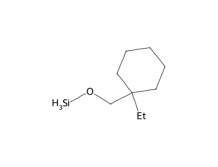 CCC1(CO[SiH3])CCCCC1